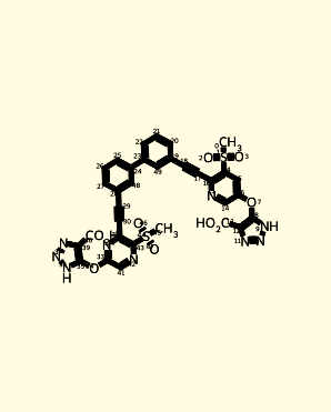 CS(=O)(=O)c1cc(Oc2[nH]nnc2C(=O)O)cnc1C#Cc1cccc(-c2cccc(C#Cc3nc(Oc4[nH]nnc4C(=O)O)cnc3S(C)(=O)=O)c2)c1